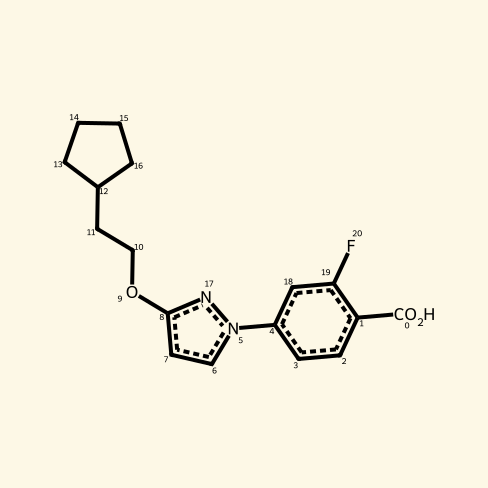 O=C(O)c1ccc(-n2ccc(OCCC3CCCC3)n2)cc1F